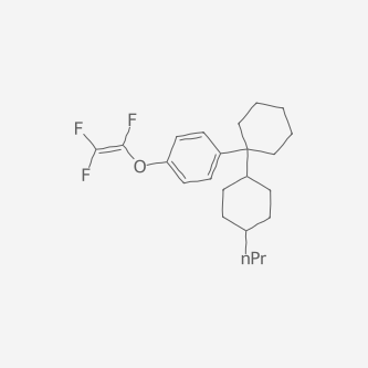 CCCC1CCC(C2(c3ccc(OC(F)=C(F)F)cc3)CCCCC2)CC1